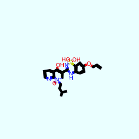 C=CCOc1ccc2c(c1)S(O)(O)N=C(C1=C(O)c3cccnc3[N+]([O-])(CCC(C)C)C1)N2